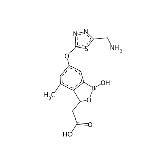 Cc1cc(Oc2nnc(CN)s2)cc2c1C(CC(=O)O)OB2O